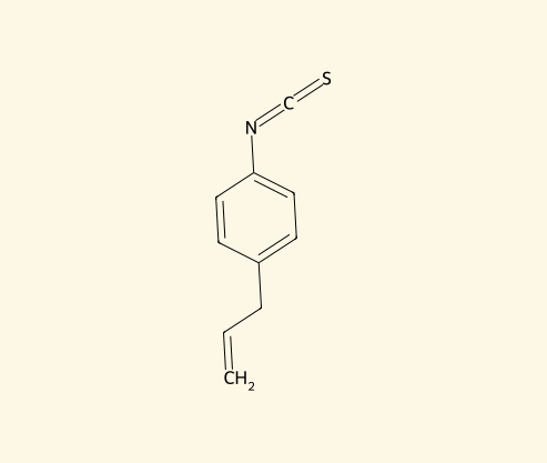 C=CCc1ccc(N=C=S)cc1